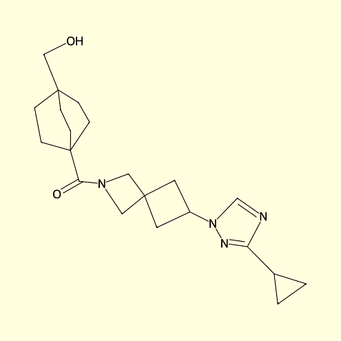 O=C(N1CC2(CC(n3cnc(C4CC4)n3)C2)C1)C12CCC(CO)(CC1)CC2